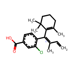 C=C/C(C)=C(\C1=C(C)CCCC1(C)C)c1ccc(C(=O)O)cc1Cl